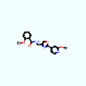 CCOc1ccccc1C(=O)NCc1coc(-c2ccnc(OC(C)C)c2)n1